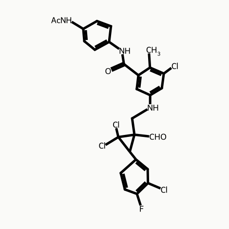 CC(=O)Nc1ccc(NC(=O)c2cc(NCC3(C=O)C(c4ccc(F)c(Cl)c4)C3(Cl)Cl)cc(Cl)c2C)cc1